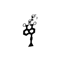 O=C1c2cccc3c(C#CC4CC4)ccc(c23)C(=O)N1OSC(F)(F)F